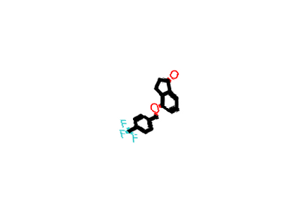 O=C1CCc2c(OCc3ccc(C(F)(F)F)cc3)cccc21